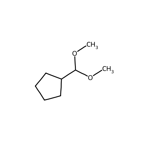 COC(OC)C1CCCC1